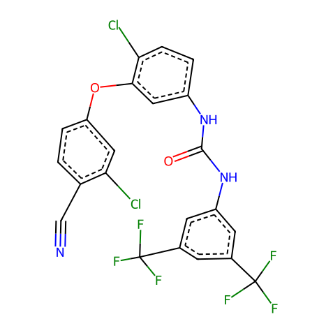 N#Cc1ccc(Oc2cc(NC(=O)Nc3cc(C(F)(F)F)cc(C(F)(F)F)c3)ccc2Cl)cc1Cl